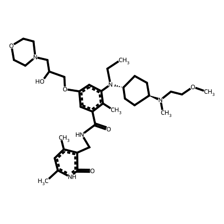 CCN(c1cc(OCC(O)CN2CCOCC2)cc(C(=O)NCc2c(C)cc(C)[nH]c2=O)c1C)[C@H]1CC[C@H](N(C)CCOC)CC1